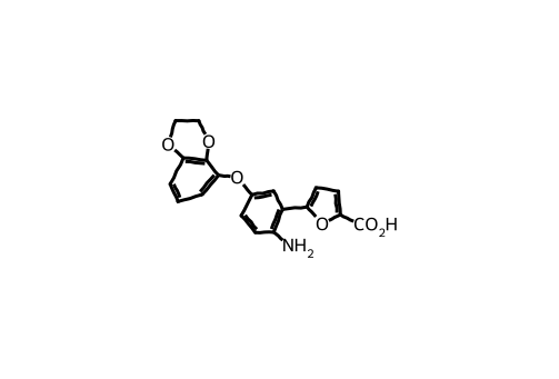 Nc1ccc(Oc2cccc3c2OCCO3)cc1-c1ccc(C(=O)O)o1